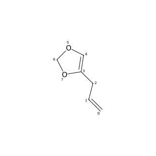 C=CCC1=COCO1